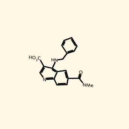 CNC(=O)c1ccc2ncc(C(=O)O)c(NCc3ccccc3)c2c1